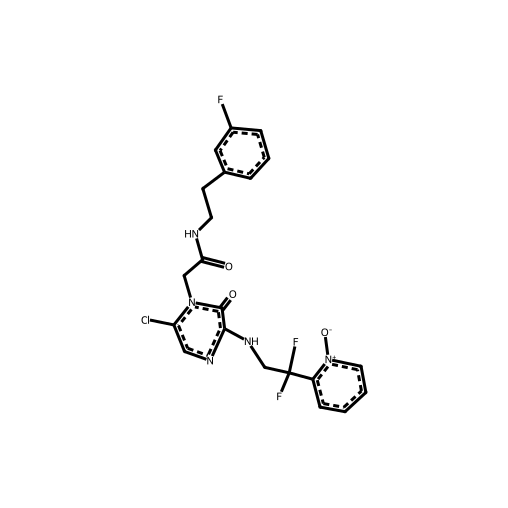 O=C(Cn1c(Cl)cnc(NCC(F)(F)c2cccc[n+]2[O-])c1=O)NCCc1cccc(F)c1